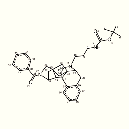 CC(C)(C)OC(=O)NCCCN1CCC23c4ccccc4CC1C21CC24CN(C(=O)c5ccccc5)C(CC21)C43